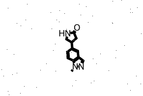 Cn1ncc2cc(C3CNC(=O)C3)ccc21